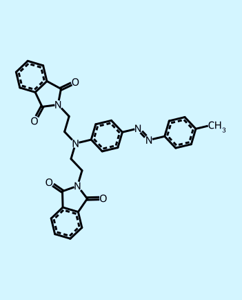 Cc1ccc(/N=N/c2ccc(N(CCN3C(=O)c4ccccc4C3=O)CCN3C(=O)c4ccccc4C3=O)cc2)cc1